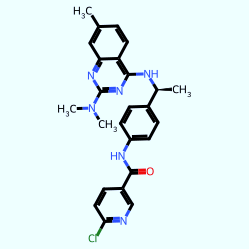 Cc1ccc2c(N[C@@H](C)c3ccc(NC(=O)c4ccc(Cl)nc4)cc3)nc(N(C)C)nc2c1